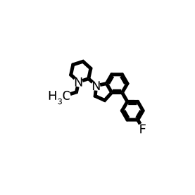 CCN1CCCCC1N1CCc2c(-c3ccc(F)cc3)cccc21